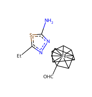 CCc1nnc(N)s1.O=C[C]12[CH]3[CH]4[CH]5[CH]1[Fe]45321678[CH]2[CH]1[CH]6[CH]7[CH]28